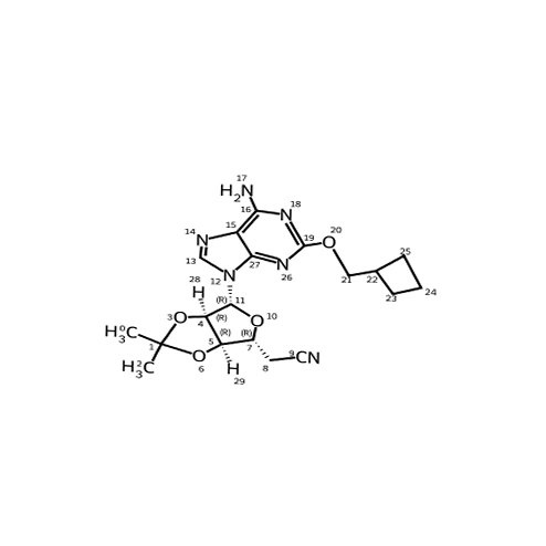 CC1(C)O[C@@H]2[C@H](O1)[C@@H](CC#N)O[C@H]2n1cnc2c(N)nc(OCC3CCC3)nc21